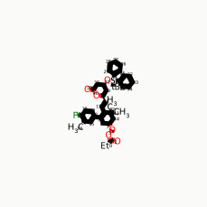 CCC(=O)OOC1CC(c2ccc(F)c(C)c2)=C(/C=C/[C@@H]2C[C@@H](O[Si](c3ccccc3)(c3ccccc3)C(C)(C)C)CC(=O)O2)C(C)(C)C1